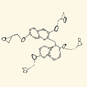 c1cc2cc(OCC3CO3)c(Cc3c(OCC4CO4)ccc4cc(OCC5CO5)ccc34)cc2cc1OCC1CO1